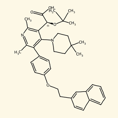 Cc1nc(C)c([C@H](OC(C)(C)C)C(=O)O)c(N2CCC(C)(C)CC2)c1-c1ccc(OCCc2ccc3ccccc3c2)cc1